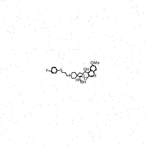 COc1ccc2ncc(Cl)c([C@H](O)CCC3(C(=O)NO)CCN(CCCSc4ccc(F)cc4)CC3)c2c1